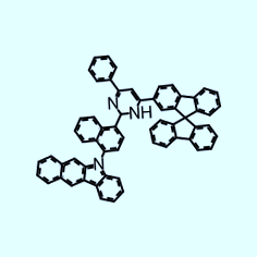 C1=C(c2ccc3c(c2)C2(c4ccccc4-c4ccccc42)c2ccccc2-3)NC(c2ccc(-n3c4ccccc4c4cc5ccccc5cc43)c3ccccc23)N=C1c1ccccc1